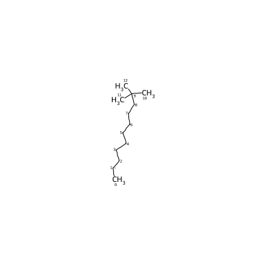 C[CH]CCCCCCCC(C)(C)C